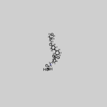 O=C(/C=C/c1ccn(S(=O)(=O)c2cccc(-c3ccc(OCCN4CCOCC4)cc3)c2)c1)NO